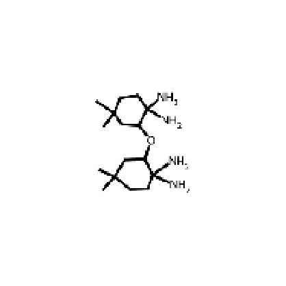 CC1(C)CCC(N)(N)C(OC2CC(C)(C)CCC2(N)N)C1